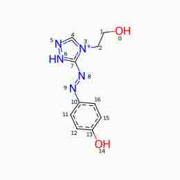 OCC[n+]1cn[nH]c1N=Nc1ccc(O)cc1